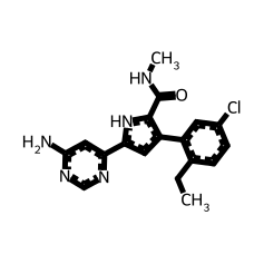 CCc1ccc(Cl)cc1-c1cc(-c2cc(N)ncn2)[nH]c1C(=O)NC